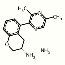 Cc1cnc(-c2cccc3c2C[C@H](N)CO3)c(C)n1.N